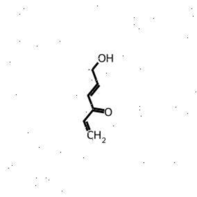 C=CC(=O)C=C[CH]O